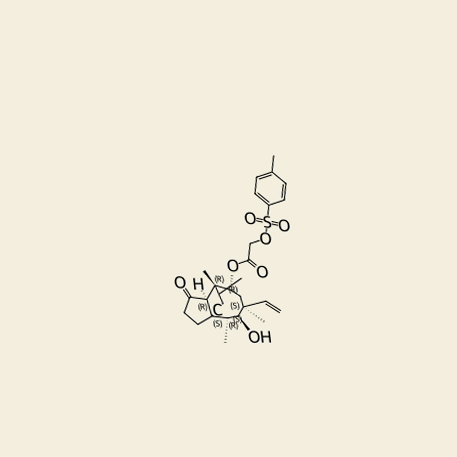 C=C[C@]1(C)C[C@@H](OC(=O)COS(=O)(=O)c2ccc(C)cc2)[C@]2(C)C(C)CC[C@]3(CCC(=O)[C@H]32)[C@@H](C)[C@@H]1O